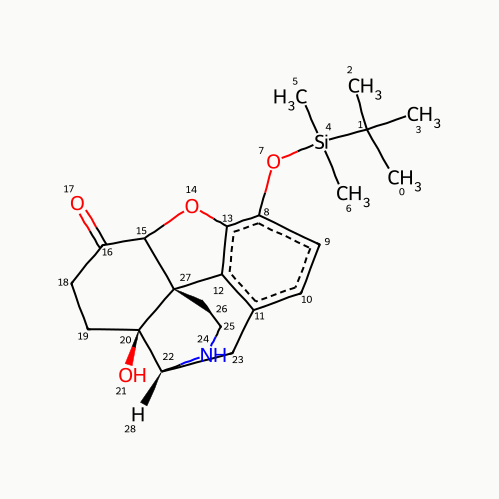 CC(C)(C)[Si](C)(C)Oc1ccc2c3c1OC1C(=O)CC[C@@]4(O)[C@@H](C2)NCC[C@]314